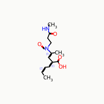 C\C=C/C=C(\C=C(/C)N(C=O)CCC(=O)NC)C(=O)O